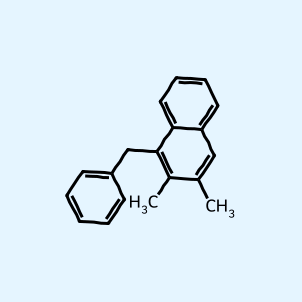 Cc1cc2ccccc2c(Cc2ccccc2)c1C